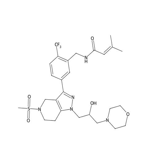 CC(C)=CC(=O)NCc1cc(-c2nn(CC(O)CN3CCOCC3)c3c2CN(S(C)(=O)=O)CC3)ccc1C(F)(F)F